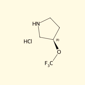 Cl.FC(F)(F)O[C@@H]1CCNC1